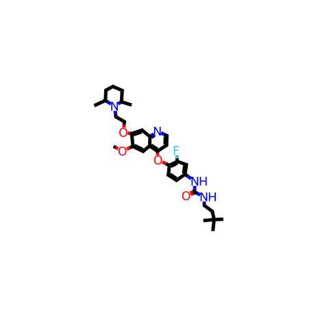 COc1cc2c(Oc3ccc(NC(=O)NCCC(C)(C)C)cc3F)ccnc2cc1OCCN1C(C)CCCC1C